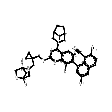 C#Cc1c(C)ccc2cc(O)cc(-c3c(F)cc4c(N5CC6CCC(C5)N6)nc(OCC5(CN6C[C@H]7C[C@@H]6CO7)CC5)nc4c3F)c12